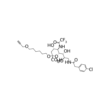 C#CCOCCCCCCO[C@]1(C(=O)O)C[C@H](O)[C@@H](NC(=O)C(F)(F)F)[C@H]([C@H](O)[C@H](O)CNC(=O)Cc2ccc(Cl)cc2)O1